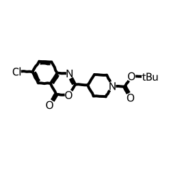 CC(C)(C)OC(=O)N1CCC(c2nc3ccc(Cl)cc3c(=O)o2)CC1